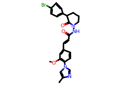 COc1cc(C=CC(=O)NN2CCCC(c3ccc(Br)cc3)C2=O)ccc1-n1cnc(C)c1